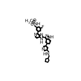 CS(=O)(=O)NCc1cc(F)cc(-c2nccc3[nH]c(-c4n[nH]c5ccc(-c6cncc(CNCC7CCCC7)c6)cc45)nc23)c1